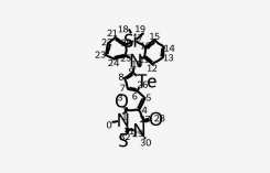 CN1C(=O)C(=Cc2ccc(N3c4ccccc4[Si](C)(C)c4ccccc43)[te]2)C(=O)N(C)C1=S